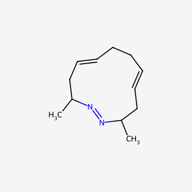 CC1C/C=C/CC/C=C/CC(C)/N=N/1